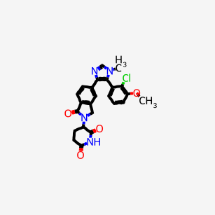 COc1cccc(-c2c(-c3ccc4c(c3)CN(C3CCC(=O)NC3=O)C4=O)ncn2C)c1Cl